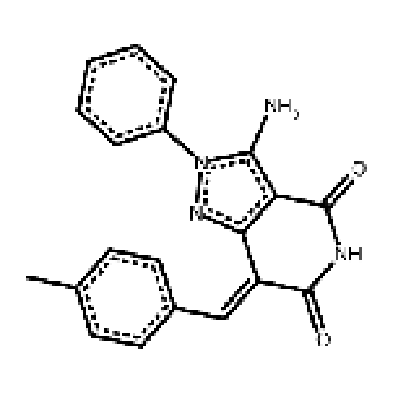 Cc1ccc(/C=C2/C(=O)NC(=O)c3c2nn(-c2ccccc2)c3N)cc1